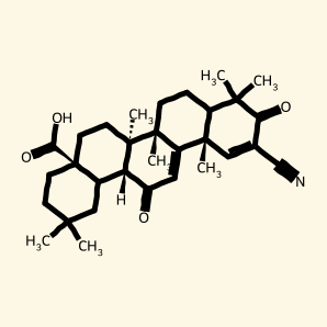 CC1(C)CC[C@]2(C(=O)O)CC[C@]3(C)[C@H](C(=O)C=C4[C@@]5(C)C=C(C#N)C(=O)C(C)(C)C5CC[C@]43C)C2C1